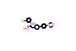 O/N=C(\CC1CCC(c2ccc(N3CCOCC3)cc2)CC1)Nc1cccc(Cl)c1